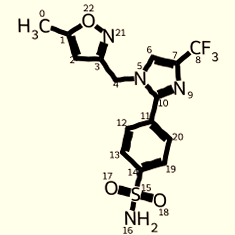 Cc1cc(Cn2cc(C(F)(F)F)nc2-c2ccc(S(N)(=O)=O)cc2)no1